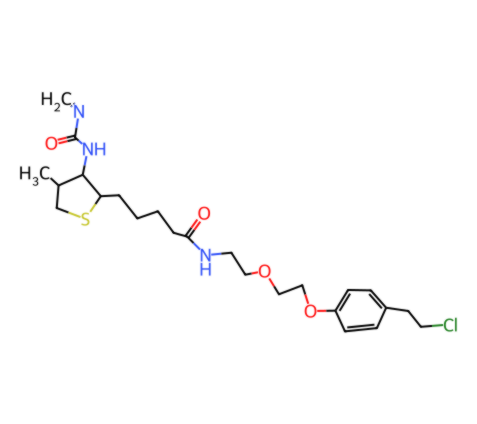 C=NC(=O)NC1C(C)CSC1CCCCC(=O)NCCOCCOc1ccc(CCCl)cc1